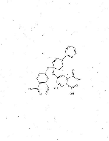 O=C(O)c1ccc(OC2(Oc3ccc(C(=O)O)c(C(=O)O)c3)C=CC(c3ccccc3)=CC2)cc1C(=O)O